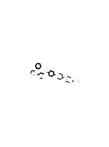 Cc1cc(N2CCC(N3CCN(C)CC3)CC2)ccc1Nc1cc(N2OCC[C@@H]2c2ccccc2)ncn1